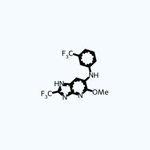 COc1nc2nc(C(F)(F)F)[nH]c2cc1Nc1cccc(C(F)(F)F)c1